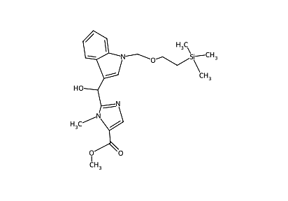 COC(=O)c1cnc(C(O)c2cn(COCC[Si](C)(C)C)c3ccccc23)n1C